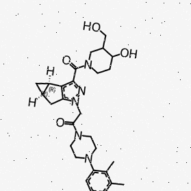 Cc1cccc(N2CCN(C(=O)Cn3nc(C(=O)N4CCC(O)C(CO)C4)c4c3C[C@H]3C[C@@H]43)CC2)c1C